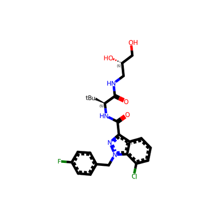 CC(C)(C)[C@H](NC(=O)c1nn(Cc2ccc(F)cc2)c2c(Cl)cccc12)C(=O)NC[C@H](O)CO